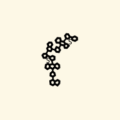 c1cc(-c2cc(-c3cccc4sc5c(-c6c7ccccc7c(-c7ccc(-c8cccc9ccccc89)cc7)c7ccccc67)cccc5c34)cc3ccccc23)cc(-c2c3ccccc3c(-c3cccc4c3sc3ccccc34)c3ccccc23)c1